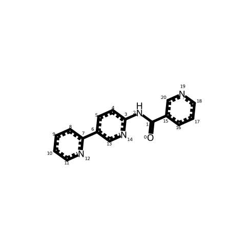 O=C(Nc1ccc(-c2ccccn2)cn1)c1cccnc1